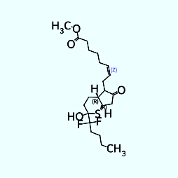 CCCCC(F)(F)C1(O)CC[C@@H]2C(C/C=C\CCCCC(=O)OC)C(=O)C[C@H]2S1